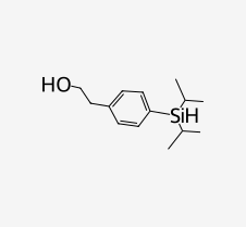 CC(C)[SiH](c1ccc(CCO)cc1)C(C)C